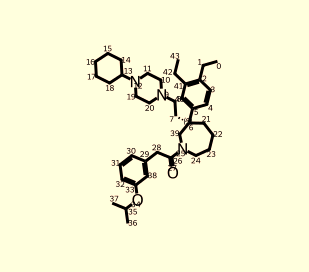 CCc1ccc([C@@]2(CCN3CCN(C4CCCCC4)CC3)CCCCN(C(=O)Cc3cccc(OC(C)C)c3)C2)cc1CC